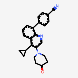 N#Cc1ccc(-c2cccc3c(C4CC4)c(N4CCC(=O)CC4)cnc23)cc1